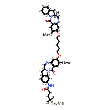 COc1cc2c(cc1OCCCCCOc1cc3c(cc1OC)C(=O)N1c4ccccc4C[C@H]1C=N3)N=CC1Cc3ccc(NC(=O)CCC(C)(C)SSC)cc3N1C2=O